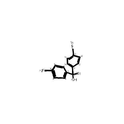 [CH2]CC(O)(c1ccc(F)cc1)c1ccc(F)cc1